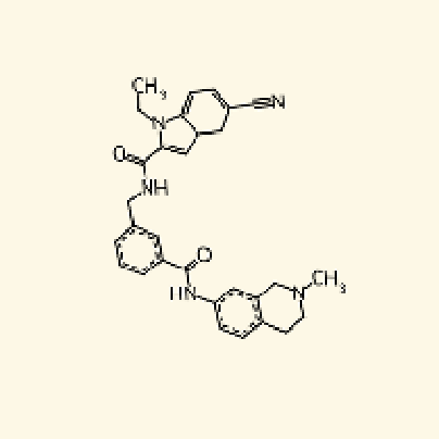 CCN1C(C(=O)NCc2cccc(C(=O)Nc3ccc4c(c3)CN(C)CC4)c2)=CC2CC(C#N)=CC=C21